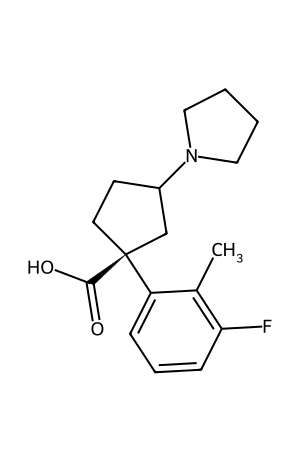 Cc1c(F)cccc1[C@]1(C(=O)O)CCC(N2CCCC2)C1